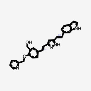 OCc1cc(/C=C/c2cc(/C=C/c3ccc4cc[nH]c4c3)[nH]n2)ccc1OCc1ccccn1